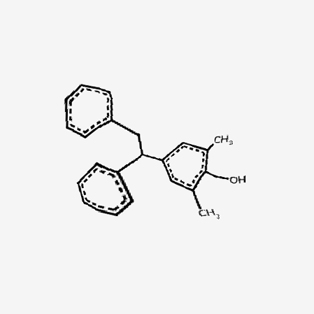 Cc1cc(C(Cc2ccccc2)c2ccccc2)cc(C)c1O